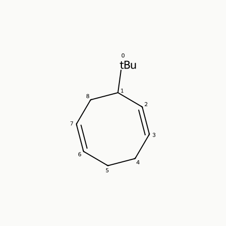 CC(C)(C)C1C=CCCC=CC1